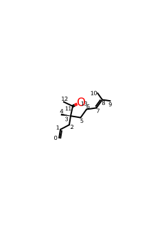 C=CC[C@@](C)(CCC=C(C)C)C(C)=O